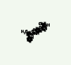 Cc1cc(NC(=O)Nc2cc(F)c(Oc3ccnc4[nH]cc(Cl)c34)cc2F)n(-c2ccccc2)n1